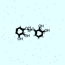 Oc1cccc(OBOc2cccc(O)c2O)c1O